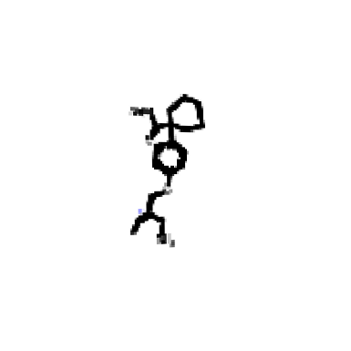 CNC(=O)C1(c2ccc(OC/C(=C/F)CN)cc2)CCCCC1